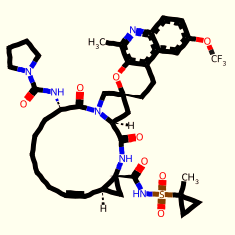 Cc1nc2ccc(OC(F)(F)F)cc2c2c1O[C@]1(CC2)C[C@H]2C(=O)N[C@]3(C(=O)NS(=O)(=O)C4(C)CC4)C[C@H]3C=CCCCCC[C@H](NC(=O)N3CCCC3)C(=O)N2C1